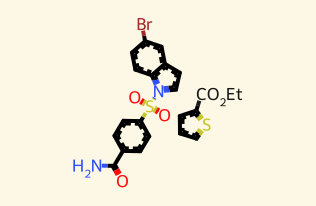 CCOC(=O)c1cccs1.NC(=O)c1ccc(S(=O)(=O)n2ccc3cc(Br)ccc32)cc1